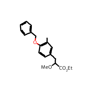 CCOC(=O)C(Cc1ccc(OCc2ccccc2)c(C)c1)OC